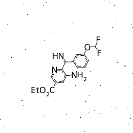 CCOC(=O)c1cnc(C(=N)c2cccc(OC(F)F)c2)c(N)c1